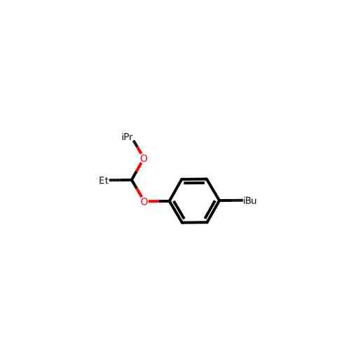 CCC(Oc1ccc(C(C)CC)cc1)OC(C)C